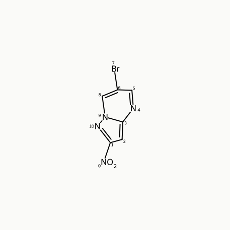 O=[N+]([O-])c1cc2ncc(Br)cn2n1